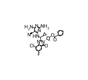 N#Cc1c(N)nc(N)nc1N[C@H](c1nc2c(Cl)cc(F)cc2c(=O)n1[C@H]1C[C@H](OC(=O)c2ccccc2)C1)C1CC1